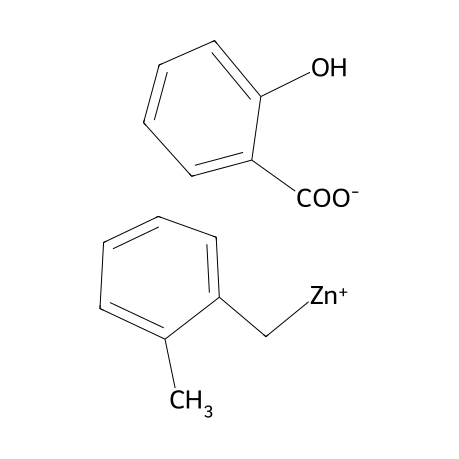 Cc1ccccc1[CH2][Zn+].O=C([O-])c1ccccc1O